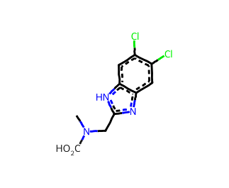 CN(Cc1nc2cc(Cl)c(Cl)cc2[nH]1)C(=O)O